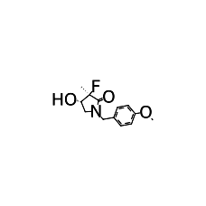 COc1ccc(CN2C[C@H](O)[C@@](C)(F)C2=O)cc1